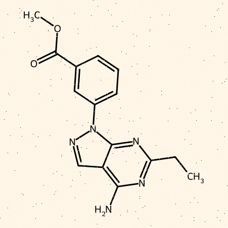 CCc1nc(N)c2cnn(-c3cccc(C(=O)OC)c3)c2n1